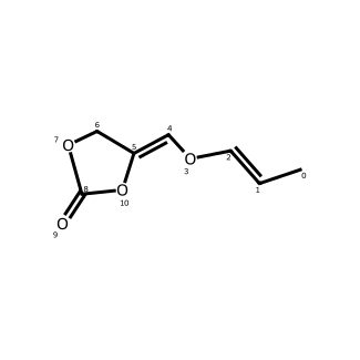 CC=COC=C1COC(=O)O1